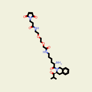 CC(C)C(=O)[C@@H]1Cc2ccccc2CN1C(=O)[C@@H](N)CCCCNC(=O)COCCOCCNC(=O)CCN1C(=O)C=CC1=O